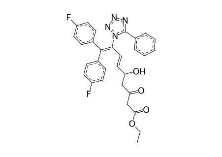 CCOC(=O)CC(=O)CC(O)C=CC(=C(c1ccc(F)cc1)c1ccc(F)cc1)n1nnnc1-c1ccccc1